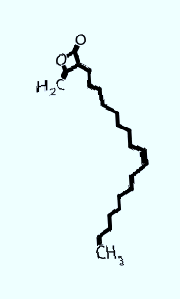 C=C1OC(=O)C1CCCCCCCC/C=C\CCCCCCCC